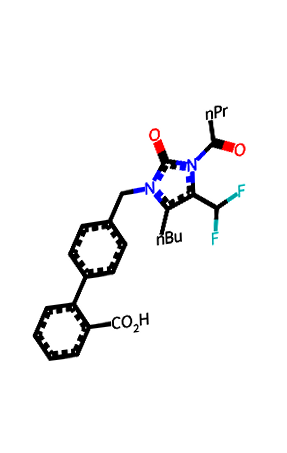 CCCCc1c(C(F)F)n(C(=O)CCC)c(=O)n1Cc1ccc(-c2ccccc2C(=O)O)cc1